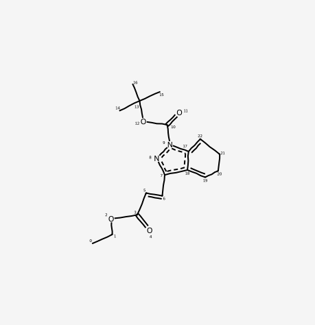 CCOC(=O)/C=C/c1nn(C(=O)OC(C)(C)C)c2c1=CCCC=2